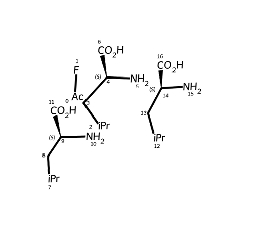 CC(=O)F.CC(C)C[C@H](N)C(=O)O.CC(C)C[C@H](N)C(=O)O.CC(C)C[C@H](N)C(=O)O